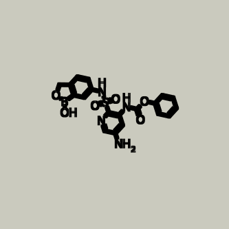 Nc1cnc(S(=O)(=O)Nc2ccc3c(c2)B(O)OC3)c(NC(=O)Oc2ccccc2)c1